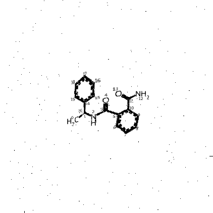 C[C@H](NC(=O)c1ccccc1C(N)=O)c1ccccc1